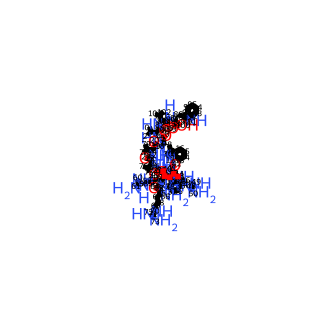 CC(C)[C@H](NC(=O)[C@H](Cc1c[nH]c2ccccc12)NC(=O)[C@@H](NC(=O)[C@@H](NC(=O)[C@H](Cc1c[nH]c2ccccc12)NC(=O)[C@H](CCCNC(=N)N)NC(=O)[C@H](CCCNC(=N)N)NC(=O)[C@@H](N)CCCNC(=N)N)C(C)C)C(C)C)C(=O)N[C@H](C(=O)N[C@@H](Cc1c[nH]c2ccccc12)C(=O)O)C(C)C